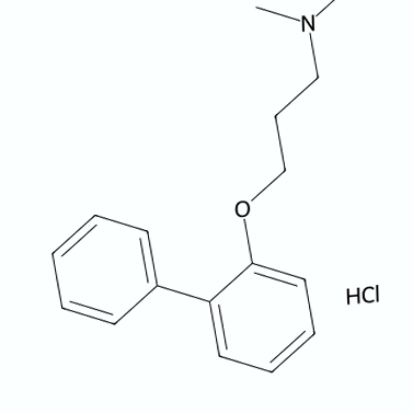 CN(C)CCCOc1ccccc1-c1ccccc1.Cl